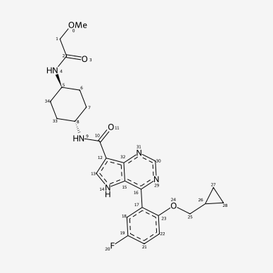 COCC(=O)N[C@H]1CC[C@H](NC(=O)c2c[nH]c3c(-c4cc(F)ccc4OCC4CC4)ncnc23)CC1